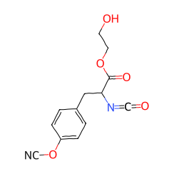 N#COc1ccc(CC(N=C=O)C(=O)OCCO)cc1